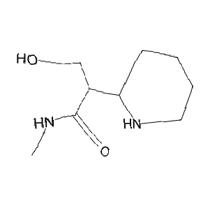 CNC(=O)C(CO)C1CCCCN1